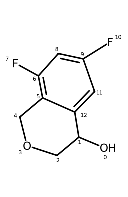 OC1COCc2c(F)cc(F)cc21